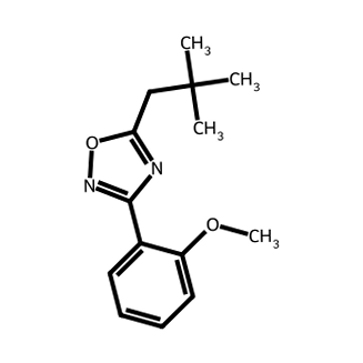 COc1ccccc1-c1noc(CC(C)(C)C)n1